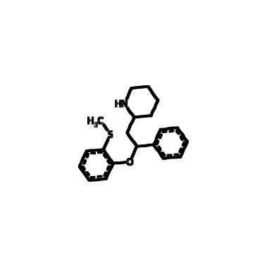 CSc1ccccc1OC(CC1CCCCN1)c1ccccc1